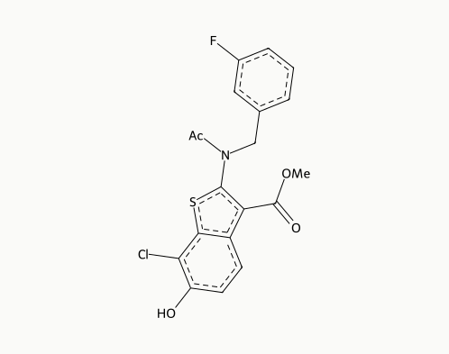 COC(=O)c1c(N(Cc2cccc(F)c2)C(C)=O)sc2c(Cl)c(O)ccc12